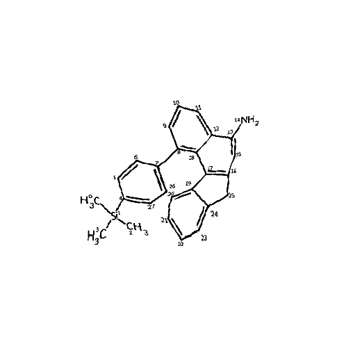 C[Si](C)(C)c1ccc(-c2cccc3c(N)cc4c(c23)-c2ccccc2C4)cc1